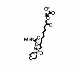 CNC(=O)OC(CCCCCCC(=O)CONC(=O)C(F)(F)F)CS(=O)(=O)N1CCOCC1